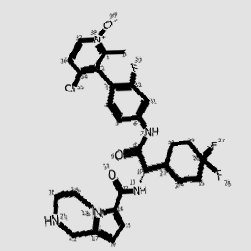 Cc1c(-c2ccc(NC(=O)[C@@H](NC(=O)c3ccc4n3CCNC4)C3CCC(F)(F)CC3)cc2F)c(Cl)cc[n+]1[O-]